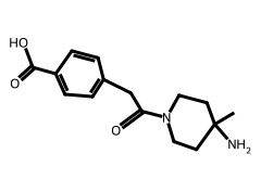 CC1(N)CCN(C(=O)Cc2ccc(C(=O)O)cc2)CC1